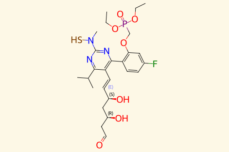 CCOP(=O)(COc1cc(F)ccc1-c1nc(N(C)S)nc(C(C)C)c1/C=C/[C@@H](O)C[C@@H](O)CC=O)OCC